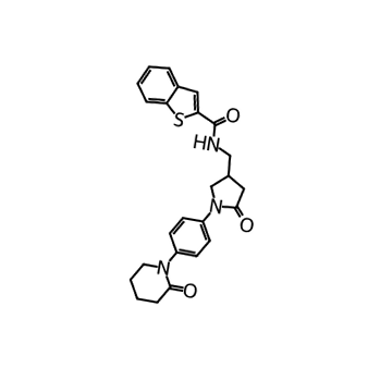 O=C(NCC1CC(=O)N(c2ccc(N3CCCCC3=O)cc2)C1)c1cc2ccccc2s1